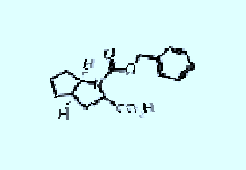 O=C(O)[C@H]1C[C@H]2CCC[C@H]2N1C(=O)OCc1ccccc1